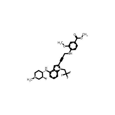 COC(=O)c1ccc(NCC#Cc2cc3c(N[C@H]4CCN(C)C[C@@H]4F)cccc3n2CC(F)(F)F)c(OC)c1